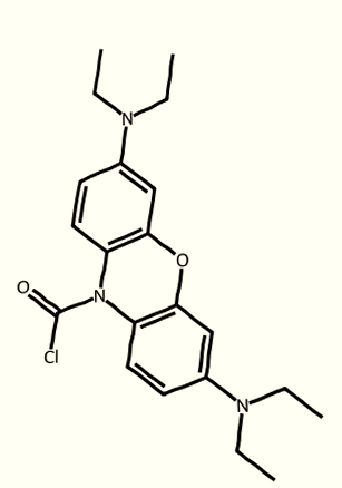 CCN(CC)c1ccc2c(c1)Oc1cc(N(CC)CC)ccc1N2C(=O)Cl